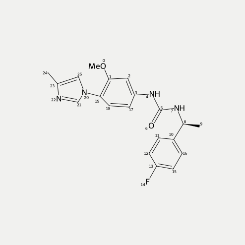 COc1cc(NC(=O)N[C@@H](C)c2ccc(F)cc2)ccc1-n1cnc(C)c1